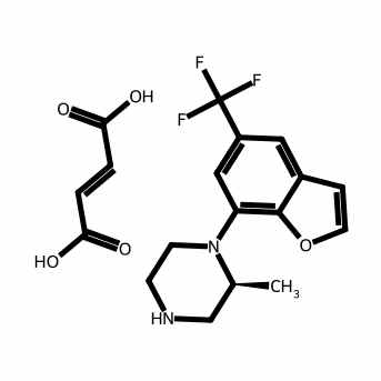 C[C@H]1CNCCN1c1cc(C(F)(F)F)cc2ccoc12.O=C(O)/C=C/C(=O)O